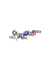 COP(=O)(CCCN1CCN(CC[C@H](CSc2ccccc2)N(C(=O)O)C(C)(C)C)CC1)OC